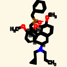 CCCN(CC1CC1)[C@@H]1Cc2ccc(OC)c3c2C2[C@@H](O3)[C@@]3(OC)CC[C@]21C[C@@H]3C[S+]([O-])Cc1ccccc1